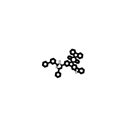 C1=C(c2ccccc2)N=C(c2cccc(-c3ccccc3)c2)NC1c1ccc2c(c1)-c1cc3oc4ccccc4c3cc1C21c2ccccc2C2(c3ccccc3-c3ccccc32)c2ccccc21